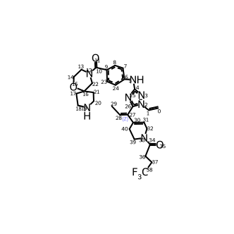 C=Cn1nc(Nc2ccc(C(=O)N3CCOC4(CCNCC4)C3)cc2)nc1/C(=C\C)C1=CCN(C(=O)CCC(F)(F)F)CC1